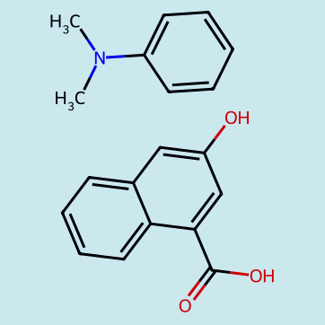 CN(C)c1ccccc1.O=C(O)c1cc(O)cc2ccccc12